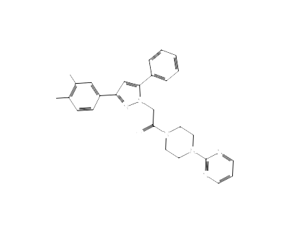 Cc1cc(-c2cc(-c3ccccc3)n(CC(=O)N3CCN(c4ncccn4)CC3)n2)ccc1F